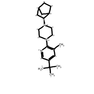 Cc1cc(C(C)(C)C)cnc1N1CCN([C@H]2CC3CCC2C3)CC1